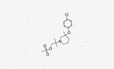 CC1(Oc2ccc(Cl)cc2)CCCN(C(C)(C)COS(C)(=O)=O)C1